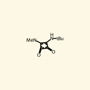 CNc1c(NC(C)(C)C)c(=O)c1=O